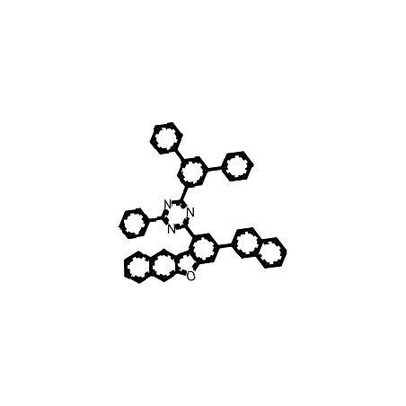 c1ccc(-c2cc(-c3ccccc3)cc(-c3nc(-c4ccccc4)nc(-c4cc(-c5ccc6ccccc6c5)cc5oc6cc7ccccc7cc6c45)n3)c2)cc1